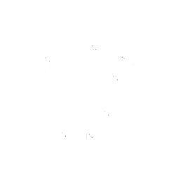 CCC[C@H](NC(=O)[C@@H]1C[C@@]2(CN1C(=O)[C@@H](NC(=O)[C@@H](NC(=O)[C@@H]1CCCCN1C(C)C)C(C)(C)C)C(C)(C)C)C(C)(C)C21CCC1)C(=O)C(=O)NC1CCC1